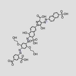 O=C(O)c1nn(-c2ccc3c(O)c(/N=N/c4cc(OCCO)c(/N=N/c5ccc([N+](=O)[O-])cc5S(=O)(=O)O)cc4OCCO)c(S(=O)(=O)O)cc3c2)c(O)c1/N=N/c1ccc2cc(S(=O)(=O)O)ccc2c1